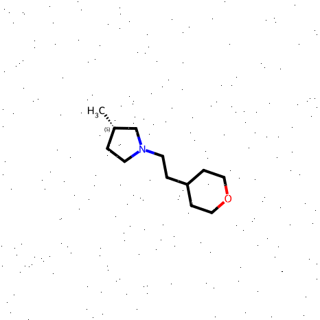 C[C@H]1CCN(CCC2CCOCC2)C1